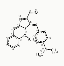 COc1ccccc1N=C1N=C(C=O)C(=Cc2ccc(N(C)C)cc2)S1